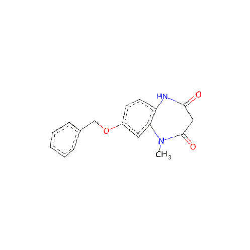 CN1C(=O)CC(=O)Nc2ccc(OCc3ccccc3)cc21